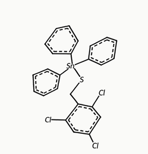 Clc1cc(Cl)c(C[S][Sn]([c]2ccccc2)([c]2ccccc2)[c]2ccccc2)c(Cl)c1